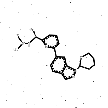 CCC[C@H](N[S+]([O-])C(C)(C)C)c1cccc(-c2ccc3cnn(C4CCCCO4)c3c2)n1